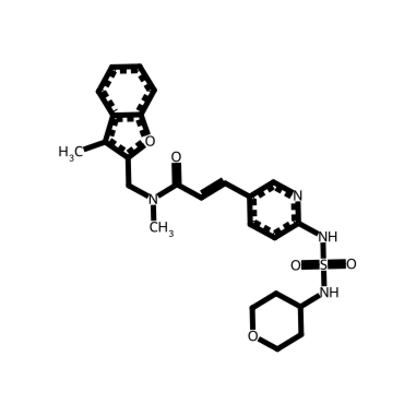 Cc1c(CN(C)C(=O)/C=C/c2ccc(NS(=O)(=O)NC3CCOCC3)nc2)oc2ccccc12